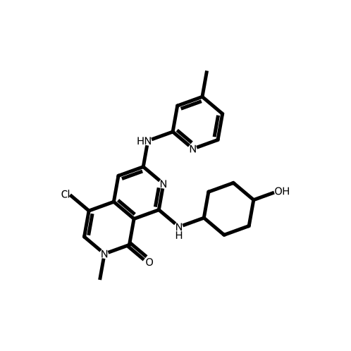 Cc1ccnc(Nc2cc3c(Cl)cn(C)c(=O)c3c(NC3CCC(O)CC3)n2)c1